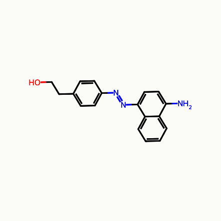 Nc1ccc(N=Nc2ccc(CCO)cc2)c2ccccc12